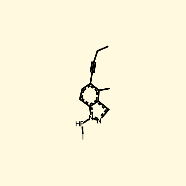 CCC#Cc1ccc2c(cnn2PI)c1C